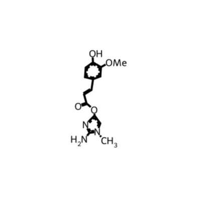 COc1cc(C=CC(=O)Oc2cn(C)c(N)n2)ccc1O